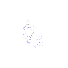 c1cc2c(cn1)c1cnccc1n2-c1cncc(-c2cc(-c3cncc(-n4c5ccncc5c5cnccc54)c3)cc(-n3c4ccncc4c4cnccc43)c2)c1